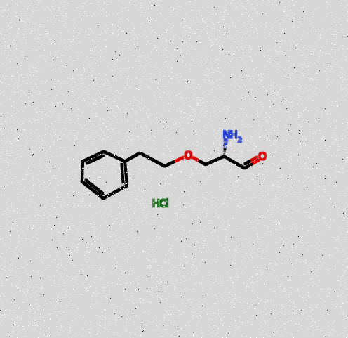 Cl.N[C@H](C=O)COCCc1ccccc1